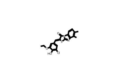 CCOc1cc(C=c2sc3nc4c(C)c(C)ccc4n3c2=O)cc(Cl)c1O